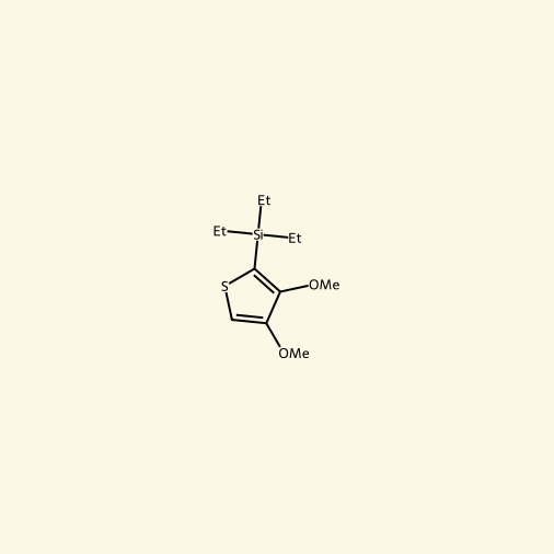 CC[Si](CC)(CC)c1scc(OC)c1OC